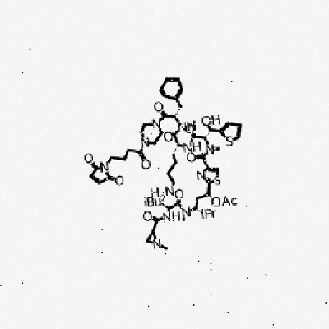 CC[C@H](C)C(NC(=O)C1CN1C)C(=O)N(C)[C@H](C[C@@H](OC(C)=O)c1nc(C(=O)N(C)[C@H](C(=O)N[C@H](CCCCN)C(=O)N[C@@H](Cc2ccccc2)C(=O)N2CCN(C(=O)CCCN3C(=O)C=CC3=O)CC2)C(O)c2cccs2)cs1)C(C)C